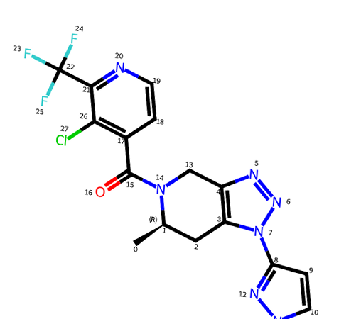 C[C@@H]1Cc2c(nnn2-c2cc[nH]n2)CN1C(=O)c1ccnc(C(F)(F)F)c1Cl